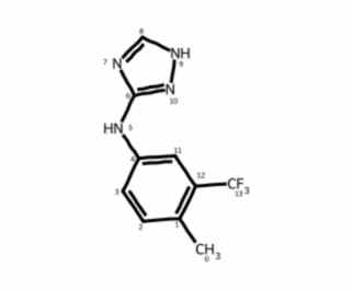 Cc1ccc(Nc2nc[nH]n2)cc1C(F)(F)F